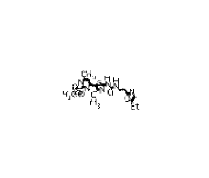 CCc1cnc(CCNC(=O)Nc2nc(C)c(-c3cc(C)nc(S(C)(=O)=O)n3)s2)o1